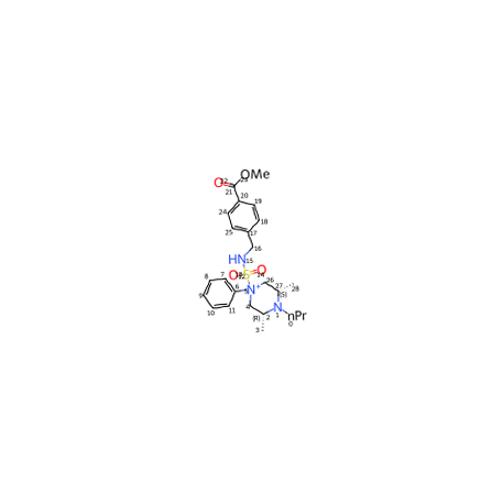 CCCN1[C@H](C)C[N+](c2ccccc2)(S(=O)(=O)NCc2ccc(C(=O)OC)cc2)C[C@@H]1C